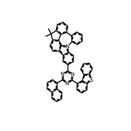 CC1(C)c2cccc3c2-c2c1ccc1c4cc(-c5nc(-c6cccc7ccccc67)nc(-c6cccc7sc8ccccc8c67)n5)ccc4n(c21)-c1ccccc1-3